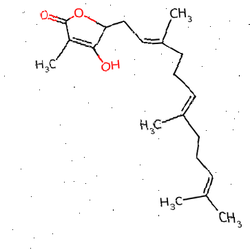 CC(C)=CCC/C(C)=C/CC/C(C)=C/CC1OC(=O)C(C)=C1O